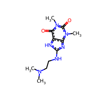 CN(C)CCNc1nc2c([nH]1)c(=O)n(C)c(=O)n2C